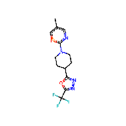 Cc1cnc(N2CCC(c3nnc(C(F)(F)F)o3)CC2)pc1